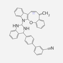 C=C1/C=C\c2c(n(C3Nc4ccccc4C(c4ccc(-c5cccc(C#N)c5)cc4)N3)c3ccccc23)Oc2ccccc21